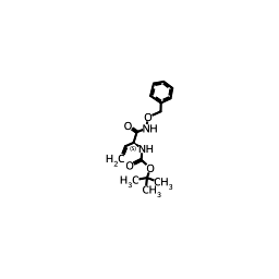 C=C[C@H](NC(=O)OC(C)(C)C)C(=O)NOCc1ccccc1